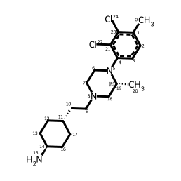 Cc1ccc(N2CCN(CC[C@H]3CC[C@H](N)CC3)C[C@H]2C)c(Cl)c1Cl